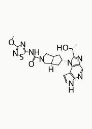 COc1nsc(NC(=O)N2CC3C[C@H](n4c([C@@H](C)O)nc5cnc6[nH]ccc6c54)C[C@H]3C2)n1